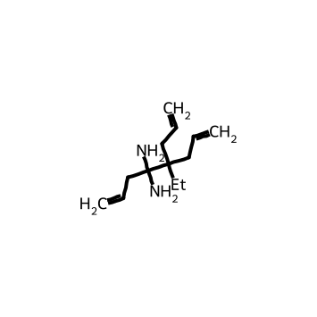 C=CCC(N)(N)C(CC)(CC=C)CC=C